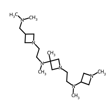 CN(C)CC1CN(CCN(C)C2(C)CN(CCN(C)C3CN(C)C3)C2)C1